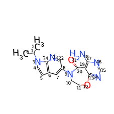 CC(C)n1ccc2cc(N3CCOc4ncnc(N)c4C3=O)cnc21